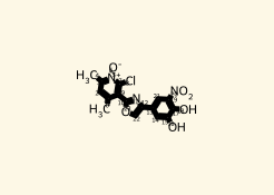 Cc1cc(C)[n+]([O-])c(Cl)c1-c1nc(-c2cc(O)c(O)c([N+](=O)[O-])c2)co1